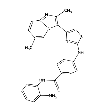 Cc1ccc2nc(C)c(-c3csc(Nc4ccc(C(=O)Nc5ccccc5N)cc4)n3)n2c1